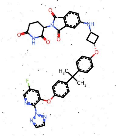 CC(C)(c1ccc(Oc2cc(F)cnc2-n2nccn2)cc1)c1ccc(O[C@H]2C[C@H](Nc3ccc4c(c3)C(=O)N(C3CCC(=O)NC3=O)C4=O)C2)cc1